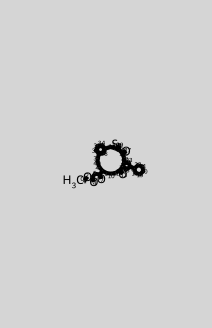 CCOC(=O)CC(=O)C1CCCC(=O)C2=CC(C3CCCCC3)C=C2CC(=O)c2csc(c2)-c2cccc(c2)CCC1